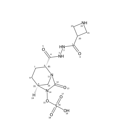 O=C(NNC(=O)[C@H]1CC[C@H]2CN1C(=O)N2OS(=O)(=O)O)C1CNC1